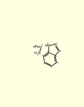 CCCCCN.c1ccc2[nH]ncc2c1